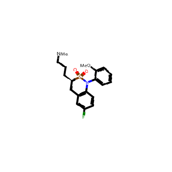 CNCCC[C@@H]1Cc2cc(F)ccc2N(c2ccccc2OC)S1(=O)=O